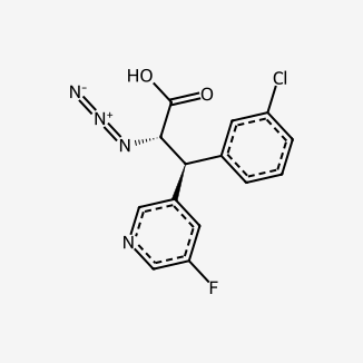 [N-]=[N+]=N[C@H](C(=O)O)[C@H](c1cncc(F)c1)c1cccc(Cl)c1